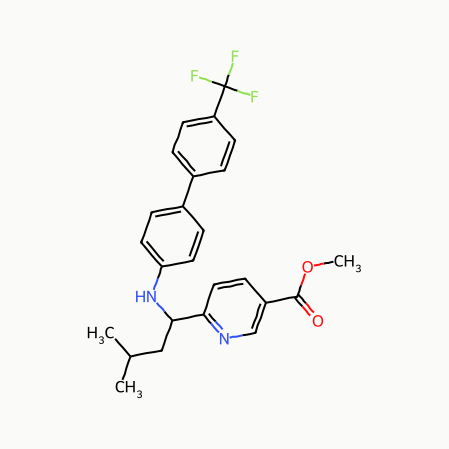 COC(=O)c1ccc(C(CC(C)C)Nc2ccc(-c3ccc(C(F)(F)F)cc3)cc2)nc1